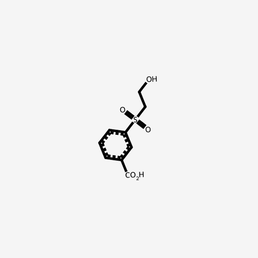 O=C(O)c1cccc(S(=O)(=O)CCO)c1